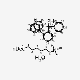 CCCCCCCCCCCCCCCC[N+](C)(C)C.O.PC(c1ccccc1)(c1ccccc1)c1ccccc1-c1ccccc1